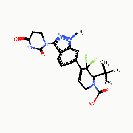 Cn1nc(N2CCC(=O)NC2=O)c2ccc(C3=CCN(C(=O)O)C(C(C)(C)C)C3(F)F)cc21